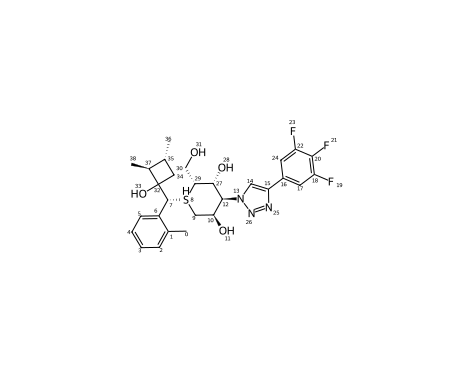 Cc1ccccc1[C@@H]([SH]1C[C@H](O)[C@H](n2cc(-c3cc(F)c(F)c(F)c3)nn2)[C@@H](O)[C@H]1CO)C1(O)C[C@@H](C)[C@@H]1C